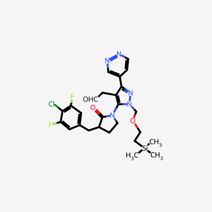 C[Si](C)(C)CCOCn1nc(-c2ccnnc2)c(CC=O)c1N1CCC(Cc2cc(F)c(Cl)c(F)c2)C1=O